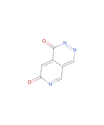 O=C1C=C2C(=O)N=NC=C2C=N1